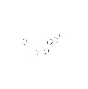 O=C(O)c1ccc2c(Oc3ccc(C[C@@H](CO)NCC(O)COc4ccccc4)cc3)ccnc2c1